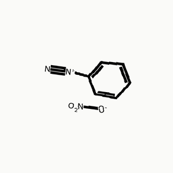 N#[N+]c1ccccc1.O=[N+]([O-])[O-]